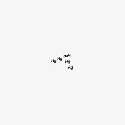 [Hg].[Hg].[Hg].[Hg].[NaH]